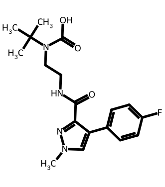 Cn1cc(-c2ccc(F)cc2)c(C(=O)NCCN(C(=O)O)C(C)(C)C)n1